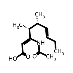 CC/C=C/[C@@H](C)[C@@H](C)/C(=C/C(=O)O)NC(C)=O